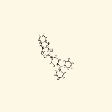 O=C(Nc1nc2ccccc2n[n+]1[O-])N1CCN(C(c2ccccc2)c2ccccc2)CC1